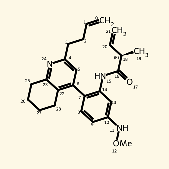 C=CC[CH]c1cc(-c2ccc(NOC)cc2NC(=O)[C@H](C)C=C)c2c(n1)CCCC2